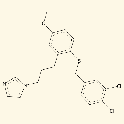 COc1ccc(SCc2ccc(Cl)c(Cl)c2)c(CCCn2ccnc2)c1